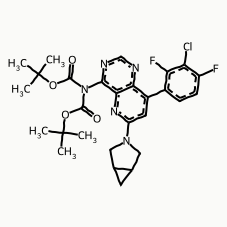 CC(C)(C)OC(=O)N(C(=O)OC(C)(C)C)c1ncnc2c(-c3ccc(F)c(Cl)c3F)cc(N3CC4CC4C3)nc12